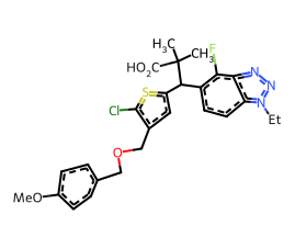 CCn1nnc2c(F)c(C(c3cc(COCc4ccc(OC)cc4)c(Cl)s3)C(C)(C)C(=O)O)ccc21